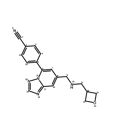 N#Cc1ccc(-c2cc(CNCC3COC3)cc3ncnn23)cc1